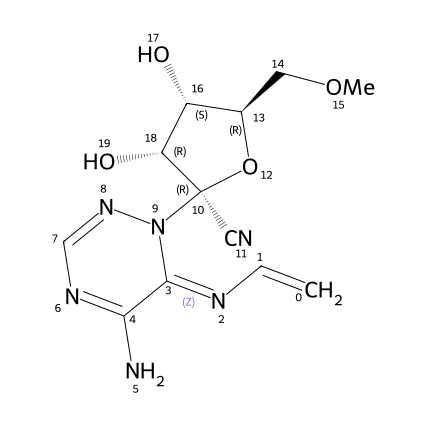 C=C/N=c1/c(N)ncnn1[C@]1(C#N)O[C@H](COC)[C@@H](O)[C@H]1O